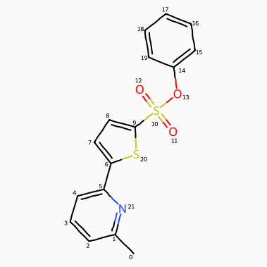 Cc1cccc(-c2ccc(S(=O)(=O)Oc3ccccc3)s2)n1